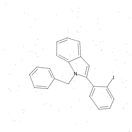 Ic1ccccc1-c1cc2ccccc2n1Cc1ccccc1